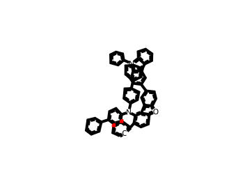 c1ccc(-c2ccc(N(c3ccc(-c4ccccc4)cc3)c3c(-c4ccccc4)ccc4oc5ccc(-c6ccc7c(c6)c6ccccc6n7-c6ccccc6)cc5c34)cc2)cc1